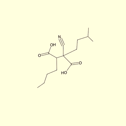 CCCCC(C(=O)O)C(C#N)(CCC(C)C)C(=O)O